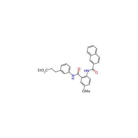 CCOC(=O)CCc1cccc(NC(=O)c2cc(OC)ccc2NC(=O)c2ccc3ccccc3c2)c1